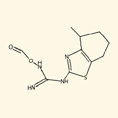 CC1CCCc2sc(NC(=N)NOC=O)nc21